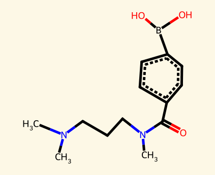 CN(C)CCCN(C)C(=O)c1ccc(B(O)O)cc1